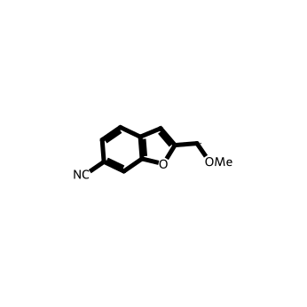 CO[CH]c1cc2ccc(C#N)cc2o1